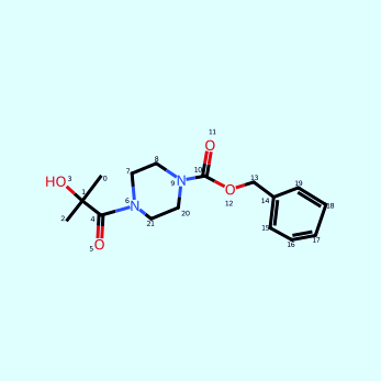 CC(C)(O)C(=O)N1CCN(C(=O)OCc2ccccc2)CC1